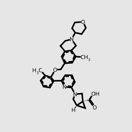 Cc1cc(COc2c(C)cccc2-c2cccc(N3C[C@@H]4C[C@]4(C(=O)O)C3)n2)cc2c1CN(C1CCOCC1)CC2